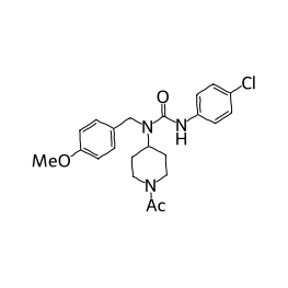 COc1ccc(CN(C(=O)Nc2ccc(Cl)cc2)C2CCN(C(C)=O)CC2)cc1